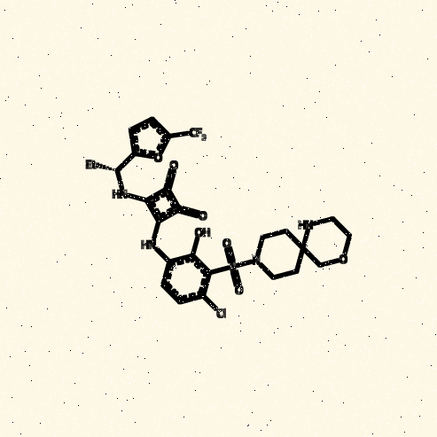 CC[C@@H](Nc1c(Nc2ccc(Cl)c(S(=O)(=O)N3CCC4(CC3)COCCN4)c2O)c(=O)c1=O)c1ccc(C(F)(F)F)o1